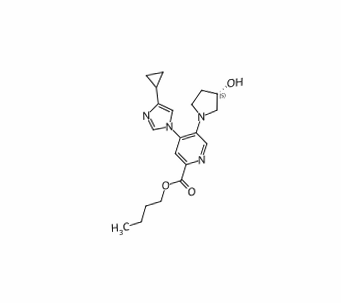 CCCCOC(=O)c1cc(-n2cnc(C3CC3)c2)c(N2CC[C@H](O)C2)cn1